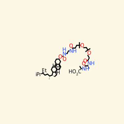 CCC(CC[C@@H](C)[C@H]1CC[C@@H]2C1CC[C@H]1[C@H]2CC=C2C[C@@H](OC(=O)NCCNC(=O)CCC(C)(C)OCCC(C)(C)OCCC(=O)N[C@@H](C)C(=O)N[C@@H](C)C(=O)O)CC[C@@]21C)C(C)C